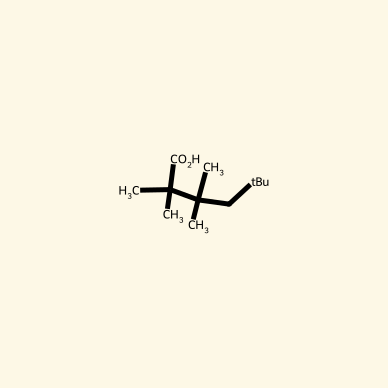 CC(C)(C)CC(C)(C)C(C)(C)C(=O)O